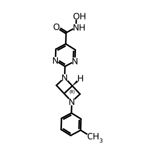 Cc1cccc(N2C[C@@H]3C2CN3c2ncc(C(=O)NO)cn2)c1